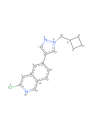 Clc1cc2cc(-c3cnn(CC4CCC4)c3)ccc2cn1